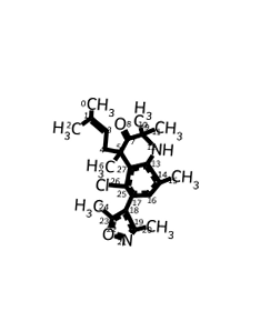 CC(C)=CCC1(C)C(=O)C(C)(C)Nc2c(C)cc(-c3c(C)noc3C)c(Cl)c21